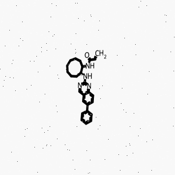 C=CC(=O)NC1CCCCCCC[C@@H]1Nc1ncc2cc(-c3ccccc3)ccc2n1